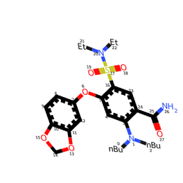 CCCCN(CCCC)c1cc(Oc2ccc3c(c2)OCO3)c(S(=O)(=O)N(CC)CC)cc1C(N)=O